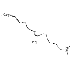 CCCCCCCCCCCCCCCCCC[SiH](C)C.Cl